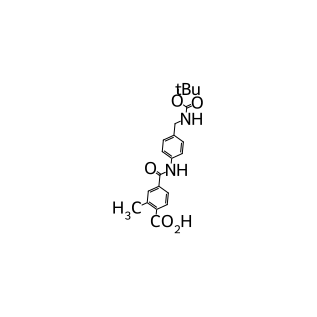 Cc1cc(C(=O)Nc2ccc(CNC(=O)OC(C)(C)C)cc2)ccc1C(=O)O